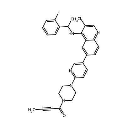 CC#CC(=O)N1CCN(c2ccc(-c3ccc4ncc(Cl)c(NC(C)c5ccccc5F)c4c3)cn2)CC1